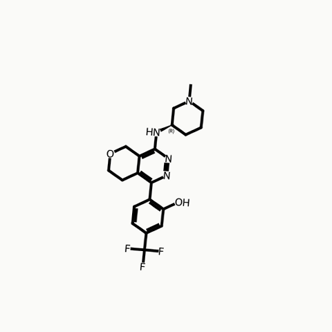 CN1CCC[C@@H](Nc2nnc(-c3ccc(C(F)(F)F)cc3O)c3c2COCC3)C1